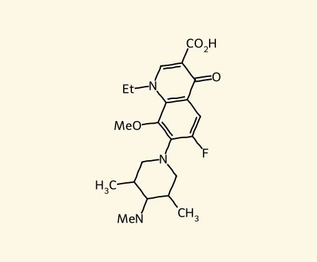 CCn1cc(C(=O)O)c(=O)c2cc(F)c(N3CC(C)C(NC)C(C)C3)c(OC)c21